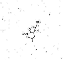 C=C(Br)C[C@H](NC(=O)OC(C)(C)C)C(=O)OC